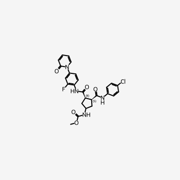 COC(=O)NC1C[C@H](C(=O)Nc2ccc(Cl)cc2)[C@H](C(=O)Nc2ccc(-n3ccccc3=O)cc2F)C1